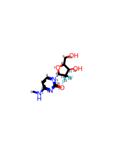 CNc1ccn([C@@H]2OC(CO)[C@@H](O)C2(F)F)c(=O)n1